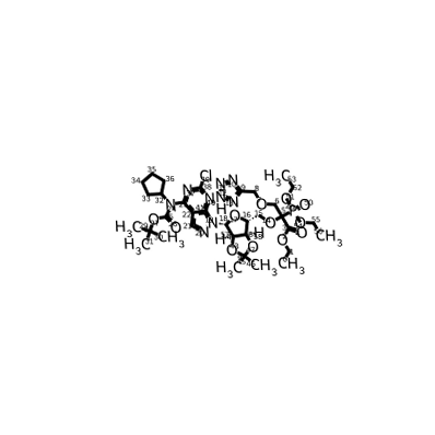 CCOC(=O)C(COCc1nn[nH]n1)(OC[C@H]1O[C@@H](n2ncc3c(N(C(=O)OC(C)(C)C)C4CCCC4)nc(Cl)nc32)[C@@H]2OC(C)(C)O[C@@H]21)P(=O)(OCC)OCC